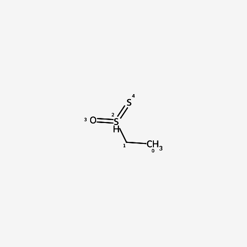 CC[SH](=O)=S